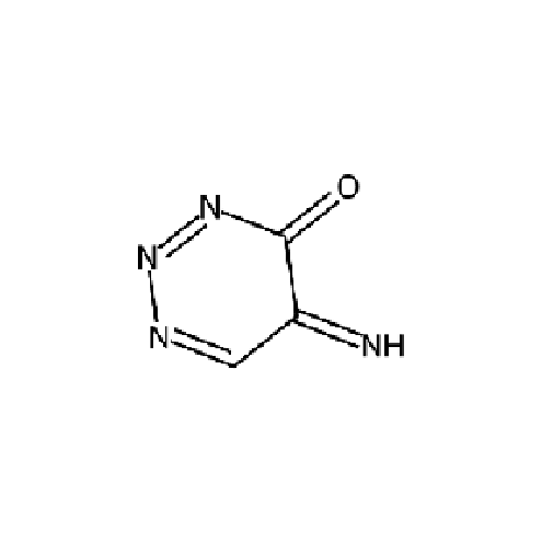 N=C1C=NN=NC1=O